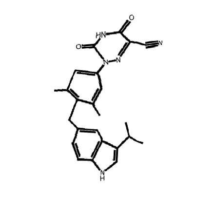 Cc1cc(-n2nc(C#N)c(=O)[nH]c2=O)cc(C)c1Cc1ccc2[nH]cc(C(C)C)c2c1